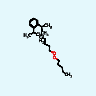 CC(C)c1ccccc1C(C)C.CCCCCOOCCCCC